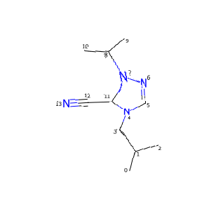 CC(C)CN1C=NN(C(C)C)C1C#N